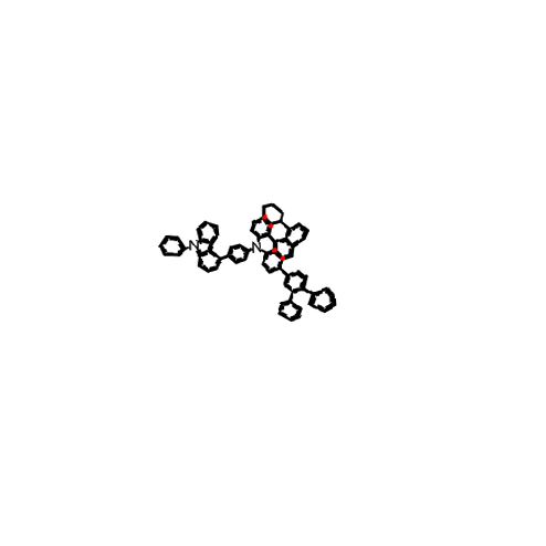 c1ccc(-c2ccc(-c3ccc(N(c4ccc(-c5cccc6c5c5ccccc5n6-c5ccccc5)cc4)c4ccccc4-c4cccc5cccc(C6CCCCC6)c45)cc3)cc2-c2ccccc2)cc1